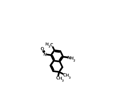 Cc1cc(N)c2c(c1N=O)C=CC(C)(C)C2